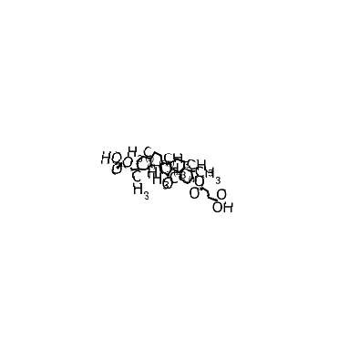 CC1(COC(=O)O)CC[C@]2(C)CC[C@]3(C)C(=CC(=O)C4[C@@]5(C)CC[C@H](OC(=O)CCC(=O)O)C(C)(C)C5CC[C@]43C)[C@H]2C1